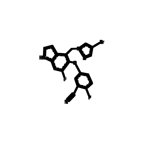 N#Cc1cc(Oc2c(F)cc3[nH]ccc3c2Cn2cc(Br)cn2)ccc1F